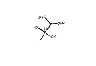 COC(OC)[PH](C)(O)O